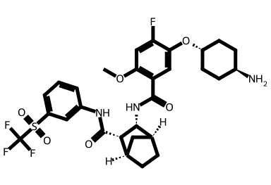 COc1cc(F)c(O[C@H]2CC[C@H](N)CC2)cc1C(=O)N[C@@H]1[C@H]2CC[C@H](C2)[C@@H]1C(=O)Nc1cccc(S(=O)(=O)C(F)(F)F)c1